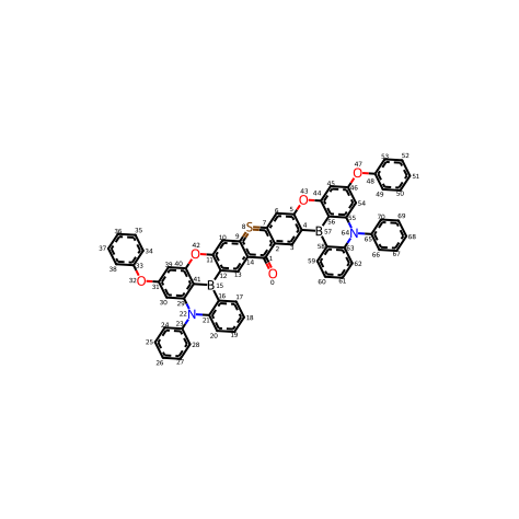 O=c1c2cc3c(cc2sc2cc4c(cc12)B1c2ccccc2N(c2ccccc2)c2cc(Oc5ccccc5)cc(c21)O4)Oc1cc(Oc2ccccc2)cc2c1B3c1ccccc1N2c1ccccc1